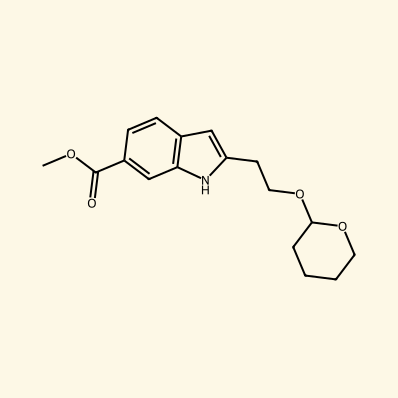 COC(=O)c1ccc2cc(CCOC3CCCCO3)[nH]c2c1